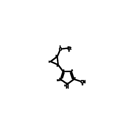 CCOC1CC1c1cc(C#N)[nH]n1